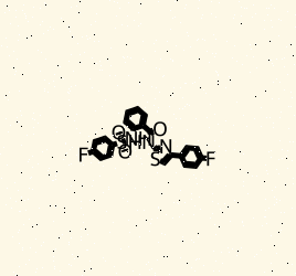 O=C(Nc1nc(-c2ccc(F)cc2)cs1)c1ccccc1NS(=O)(=O)c1ccc(F)cc1